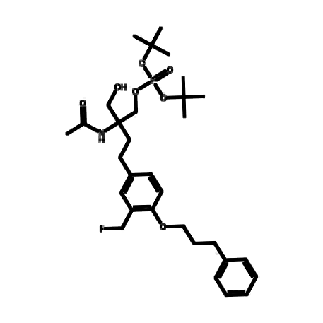 CC(=O)NC(CO)(CCc1ccc(OCCCc2ccccc2)c(CF)c1)COP(=O)(OC(C)(C)C)OC(C)(C)C